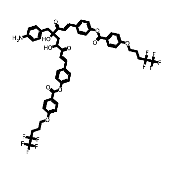 Nc1ccc(CC(O)(CC(O)C(=O)/C=C/c2ccc(OC(=O)c3ccc(OCCCC(F)(F)C(F)(F)F)cc3)cc2)C(=O)/C=C/c2ccc(OC(=O)c3ccc(OCCCC(F)(F)C(F)(F)F)cc3)cc2)cc1